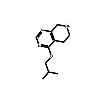 CC(C)COc1ncnc2c1CCNC2